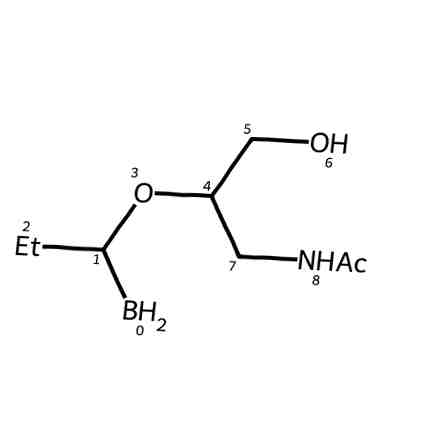 BC(CC)OC(CO)CNC(C)=O